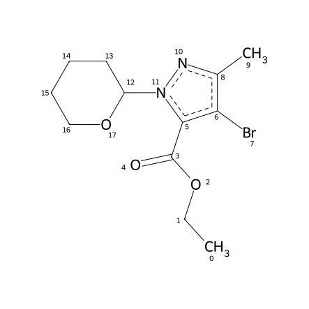 CCOC(=O)c1c(Br)c(C)nn1C1CCCCO1